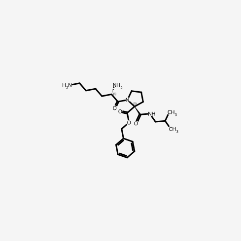 CC(C)CNC(=O)[C@]1(C(=O)OCc2ccccc2)CCCN1C(=O)[C@@H](N)CCCCN